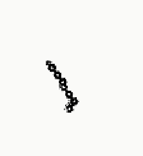 C[Si](C)(C)c1ccc(-c2ccc(-c3ccc4cc(-c5ccc(-c6cccc7c6sc6ncccc67)cc5)cnc4c3)cc2)cc1